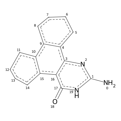 Nc1nc2c3ccccc3c3ccccc3c2c(=O)[nH]1